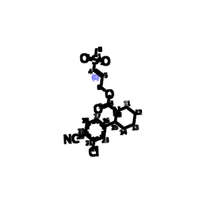 CS(=O)(=O)/C=C/COC(=O)N1CCCCC1c1ccc(C#N)c(Cl)c1